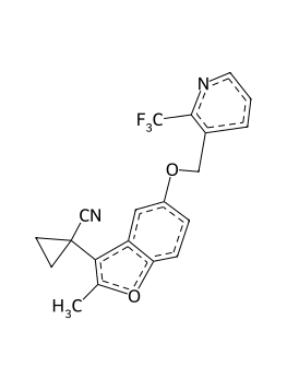 Cc1oc2ccc(OCc3cccnc3C(F)(F)F)cc2c1C1(C#N)CC1